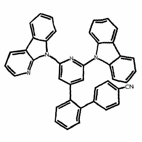 N#Cc1ccc(-c2ccccc2-c2cc(-n3c4ccccc4c4ccccc43)nc(-n3c4ccccc4c4cccnc43)c2)cc1